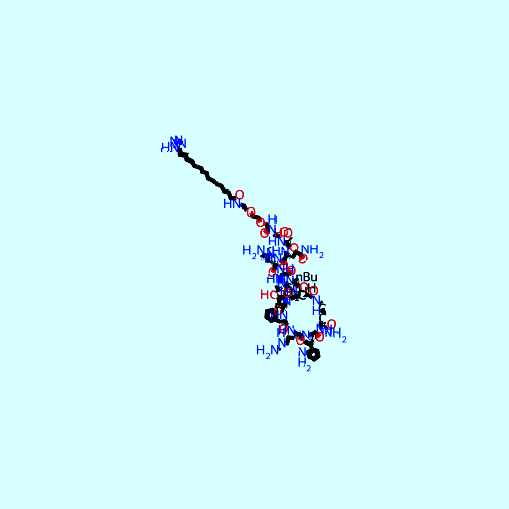 C=N/C(=C\N)C[C@H](NC(=O)[C@H](CCC(N)=O)NC(=O)[C@H](CO)NC(=O)CNC(=O)COCCOCCNC(=O)CCCCCCCCCCCCCCCc1nnn[nH]1)C(=O)NC(NN(CC(=O)O)CC(=O)O)C(=O)N[C@@H](CCCC)C(=O)N[C@H]1CCC(=O)NCCCC[C@@H](C(N)=O)NC(=O)[C@H](CC(=C)c2ccccc2N)NC(=O)[C@H](CCCNCN)NC(=O)[C@@H](Cc2ccccc2)NC(=O)[C@@H]2C[C@@H](O)CN2C1=O